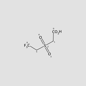 O=C(O)CS(=O)(=O)CC(F)(F)F